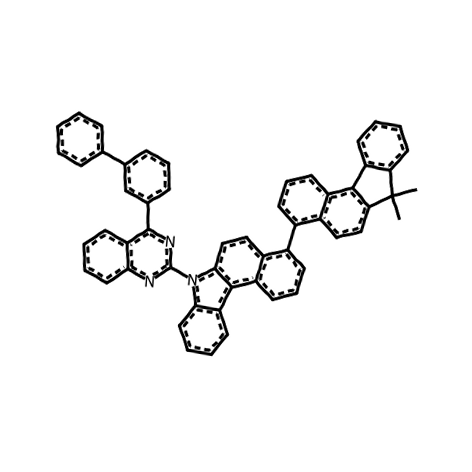 CC1(C)c2ccccc2-c2c1ccc1c(-c3cccc4c3ccc3c4c4ccccc4n3-c3nc(-c4cccc(-c5ccccc5)c4)c4ccccc4n3)cccc21